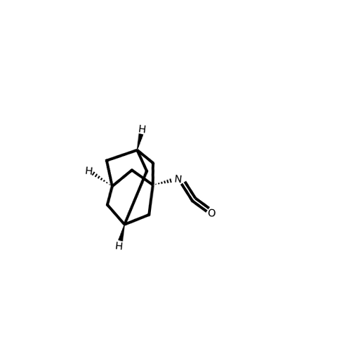 O=C=N[C@]12C[C@H]3C[C@H](C[C@H](C3)C1)C2